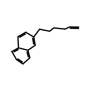 C=CCCCCc1ccc2ccccc2c1